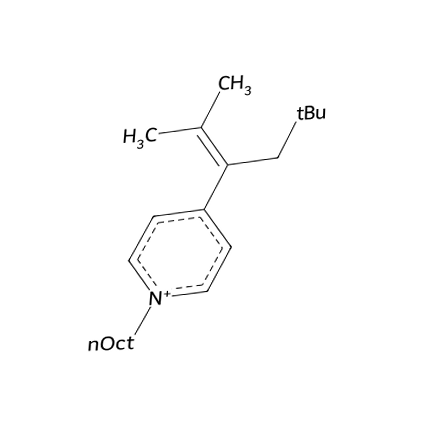 CCCCCCCC[n+]1ccc(C(CC(C)(C)C)=C(C)C)cc1